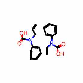 C=CCN(C(=O)O)c1ccccc1.CCN(C(=O)O)c1ccccc1